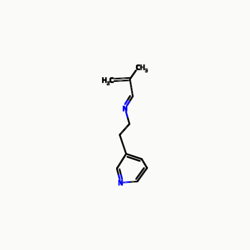 C=C(C)C=NCCc1cccnc1